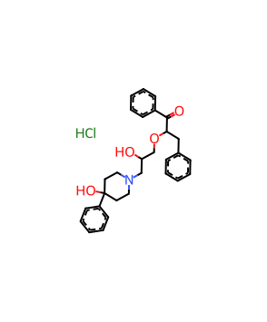 Cl.O=C(c1ccccc1)C(Cc1ccccc1)OCC(O)CN1CCC(O)(c2ccccc2)CC1